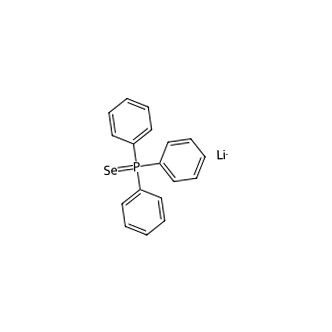 [Li].[Se]=P(c1ccccc1)(c1ccccc1)c1ccccc1